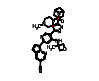 CN1CCN(C(=O)N2C3CC2CN(c2nnc(-c4cnc(-c5ccc6cc(C#N)cnn56)cc4NC4(C)COC4)s2)C3)CC1